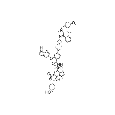 COc1ccc(CN2CCN(C3CC4(CCN(c5cc(Oc6cnc7[nH]ccc7c6)c(C(=O)NS(=O)(=O)c6cc([N+](=O)[O-])c(NCC7CCC(C)(O)CC7)c7scnc67)cn5)CC4)C3)[C@H](c3ccccc3C(C)C)C2)cc1